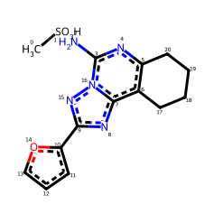 CS(=O)(=O)O.Nc1nc2c(c3nc(-c4ccco4)nn13)CCCC2